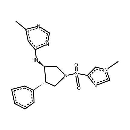 Cc1cc(N[C@H]2CN(S(=O)(=O)c3cn(C)cn3)C[C@@H]2c2ccccc2)ncn1